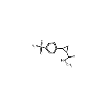 CNC(=O)C1CC1c1ccc(S(N)(=O)=O)cc1